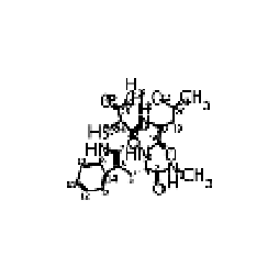 CNC(=O)[C@H](Cc1c[nH]c2ccccc12)NC(=O)[C@H](CC(C)C)NC(=O)C(S)C(C)=O